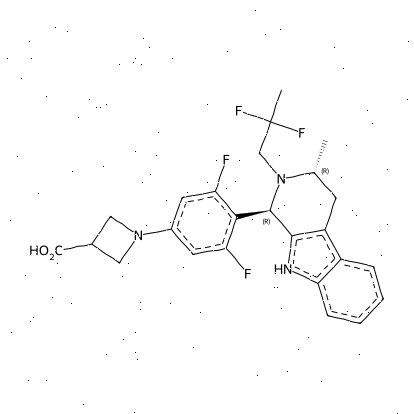 C[C@@H]1Cc2c([nH]c3ccccc23)[C@@H](c2c(F)cc(N3CC(C(=O)O)C3)cc2F)N1CC(C)(F)F